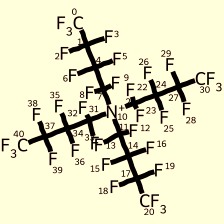 FC(F)(F)C(F)(F)C(F)(F)C(F)(F)[N+](C(F)(F)C(F)(F)C(F)(F)C(F)(F)F)(C(F)(F)C(F)(F)C(F)(F)C(F)(F)F)C(F)(F)C(F)(F)C(F)(F)C(F)(F)F